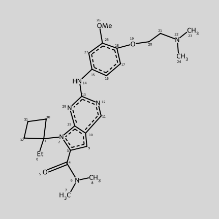 CCC1(n2c(C(=O)N(C)C)cc3cnc(Nc4ccc(OCCN(C)C)c(OC)c4)nc32)CCC1